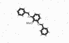 COc1c(OCc2ccccc2)cccc1OCc1ccccc1